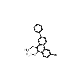 CCc1c(OC)c2ccc(Br)cc2c2ccc(-c3ccccc3)cc12